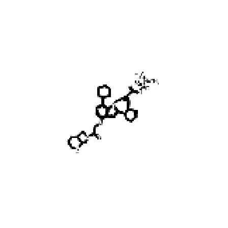 CN(C)S(=O)(=O)NC(=O)C1=C2Cn3c(cc4c(OCC(=O)N5CC6CCCNC6C5)ccc(C5CCCCC5)c43)C3CCC=CC3=C21